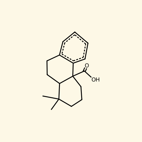 CC1(C)CCCC2(C(=O)O)c3ccccc3CCC12